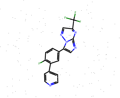 Fc1ccc(-c2cnc3nc(C(F)(F)F)cnn23)cc1-c1ccncc1